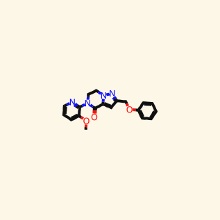 COc1cccnc1N1CCn2nc(COc3ccccc3)cc2C1=O